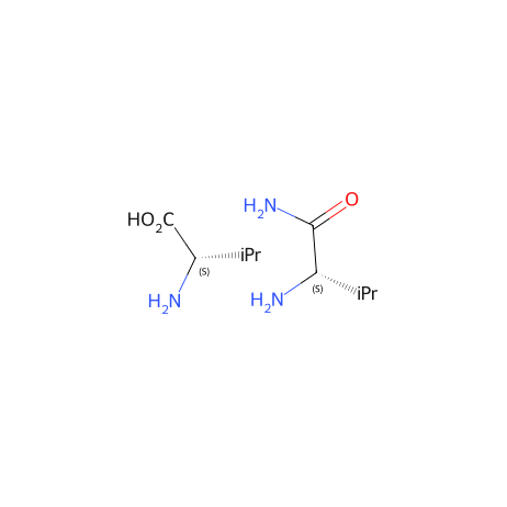 CC(C)[C@H](N)C(=O)O.CC(C)[C@H](N)C(N)=O